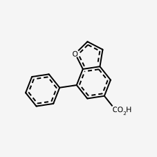 O=C(O)c1cc(-c2ccccc2)c2occc2c1